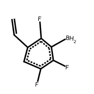 Bc1c(F)c(F)cc(C=C)c1F